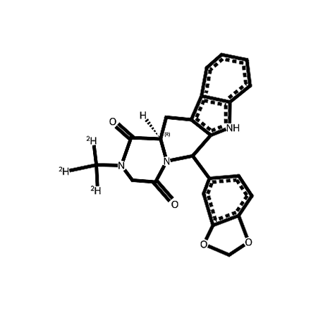 [2H]C([2H])([2H])N1CC(=O)N2C(c3ccc4c(c3)OCO4)c3[nH]c4ccccc4c3C[C@@H]2C1=O